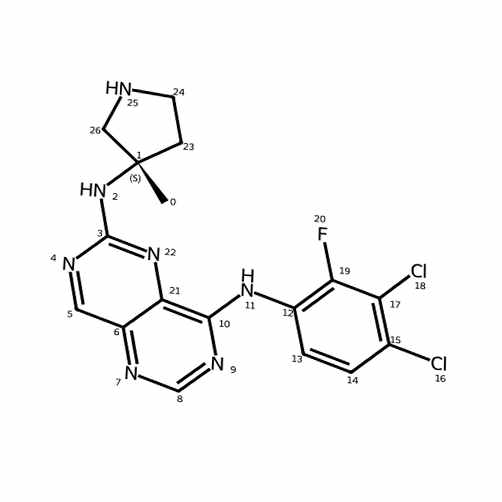 C[C@]1(Nc2ncc3ncnc(Nc4ccc(Cl)c(Cl)c4F)c3n2)CCNC1